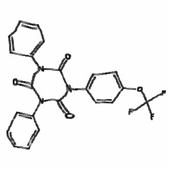 O=c1n(-c2ccccc2)c(=O)n(-c2ccc(OC(F)(F)F)cc2)c(=O)n1-c1ccccc1